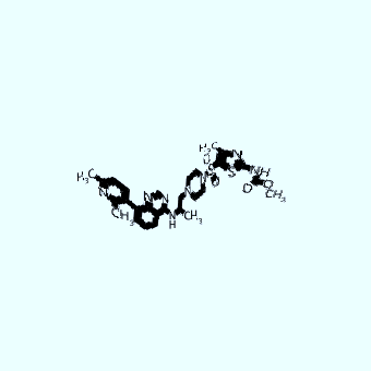 COC(=O)Nc1nc(C)c(S(=O)(=O)N2CCN(CC(C)Nc3ncnc4c(-c5ccc(C)nc5C)cccc34)CC2)s1